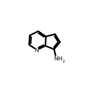 NC1=C=Cc2cccnc21